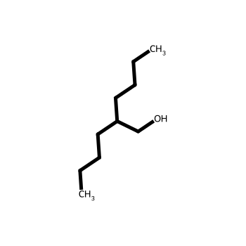 CCCCC(CO)CCCC